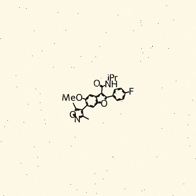 COc1cc2c(C(=O)NC(C)C)c(-c3ccc(F)cc3)oc2cc1-c1c(C)noc1C